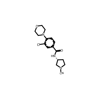 N#CN1CC[C@@H](NC(=O)c2ccc(N3CCOCC3)c(Cl)c2)C1